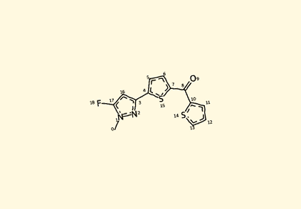 Cn1nc(-c2ccc(C(=O)c3cccs3)s2)cc1F